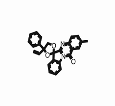 C=CC1(c2ccccc2)COC2(O1)c1ccccc1-n1c2nc2ccc(C)cc2c1=O